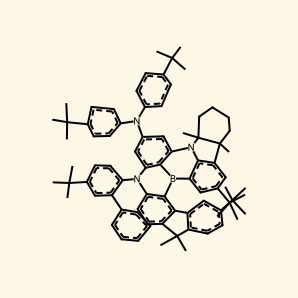 CC(C)(C)c1ccc(N(c2ccc(C(C)(C)C)cc2)c2cc3c4c(c2)N2c5c(cc(C(C)(C)C)cc5C5(C)CCCCC25C)B4c2c(ccc4c2-c2cc(C(C)(C)C)ccc2C4(C)C)N3c2ccc(C(C)(C)C)cc2-c2ccccc2)cc1